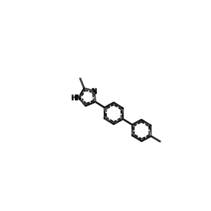 Cc1ccc(-c2ccc(-c3c[nH]c(C)n3)cc2)cc1